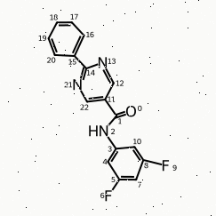 O=C(Nc1cc(F)cc(F)c1)c1cnc(-c2ccccc2)nc1